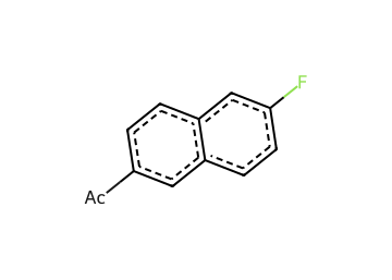 CC(=O)c1ccc2cc(F)ccc2c1